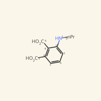 CCCNc1cccc(C(=O)O)c1C(=O)O